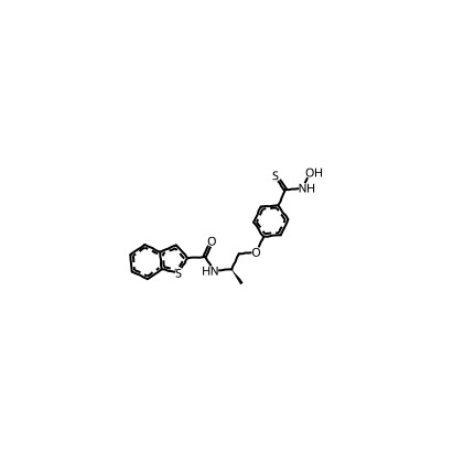 C[C@H](COc1ccc(C(=S)NO)cc1)NC(=O)c1cc2ccccc2s1